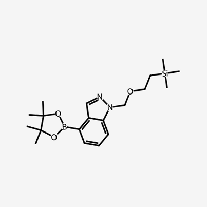 CC1(C)OB(c2cccc3c2cnn3COCC[Si](C)(C)C)OC1(C)C